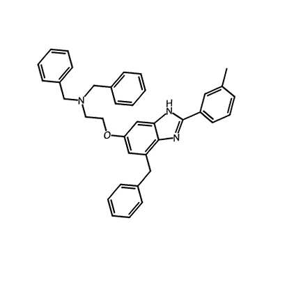 Cc1cccc(-c2nc3c(Cc4ccccc4)cc(OCCN(Cc4ccccc4)Cc4ccccc4)cc3[nH]2)c1